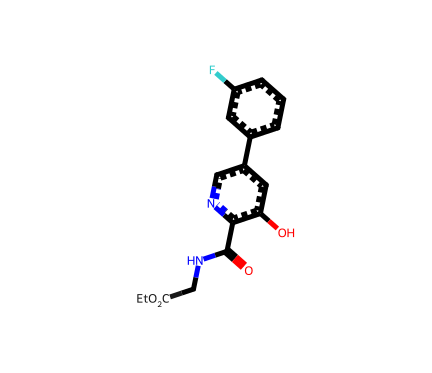 CCOC(=O)CNC(=O)c1ncc(-c2cccc(F)c2)cc1O